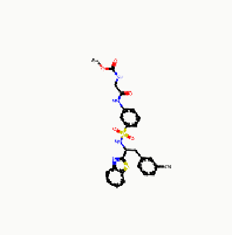 CC(C)(C)OC(=O)NCC(=O)Nc1cccc(S(=O)(=O)NC(Cc2cccc(C#N)c2)c2nc3ccccc3s2)c1